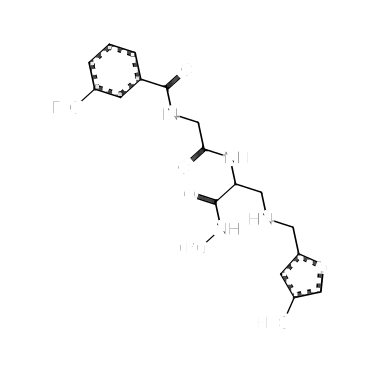 Cc1csc(CNCC(NC(=O)CNC(=O)c2cccc(C(F)(F)F)c2)C(=O)NC(C)(C)C)c1